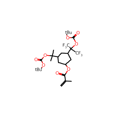 C=C(C)C(=O)OC1CC(C(C)(C)OC(=O)OC(C)(C)C)CC(C(OC(=O)OC(C)(C)C)(C(F)(F)F)C(F)(F)F)C1